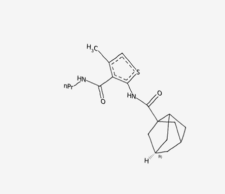 CCCNC(=O)c1c(C)csc1NC(=O)C12CC3CC1C[C@@H](C3)C2